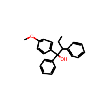 CCC(c1ccccc1)C(O)(c1ccccc1)c1ccc(OC)cc1